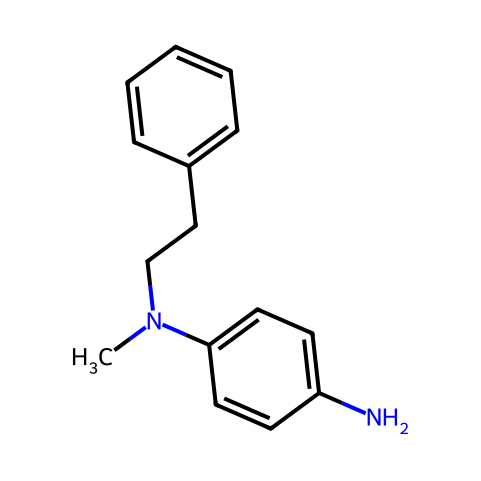 CN(CCc1ccccc1)c1ccc(N)cc1